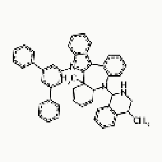 CC1CNC(N2c3ccccc3-c3c(n(-c4cc(-c5ccccc5)cc(-c5ccccc5)c4)c4ccccc34)C3(C)C=CC=CC23)c2ccccc21